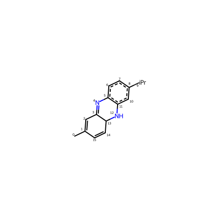 CC1=CC2=Nc3ccc(C(C)C)cc3NC2C=C1